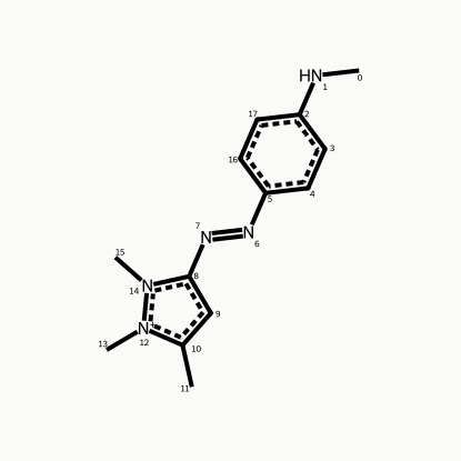 CNc1ccc(N=Nc2cc(C)[n+](C)n2C)cc1